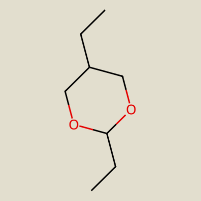 CCC1COC(CC)OC1